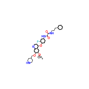 COc1cc2c(Oc3ccc(NC(=O)C(=O)NCCCc4ccccc4)cc3F)ccnc2cc1OCC1CCNCC1